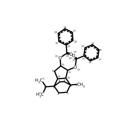 CC(C)C12CCC(C)(CC1)C1C(OC(=O)c3ccccc3)C(OC(=O)c3ccccc3)CC12